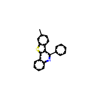 Cc1ccc2c(c1)sc1c3ccccc3nc(-c3ccccc3)c21